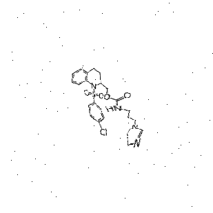 O=C(NCCCN1C=NCC1)OCC1CCc2ccccc2N1S(=O)(=O)c1ccc(Cl)cc1